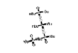 CCCCP(=O)([O-])CCCC.CCCCP(=O)([O-])CCCC.CCCCP(=O)([O-])CCCC.CCCCP(=O)([O-])CCCC.[Sn+4]